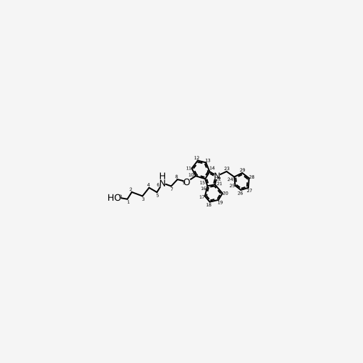 OCCCCCNCCOc1cccc2c1c1ccccc1n2Cc1ccccc1